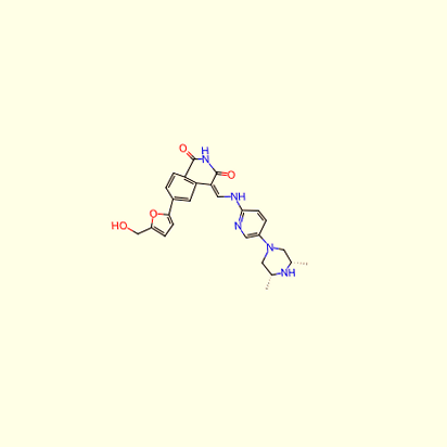 C[C@@H]1CN(c2ccc(N/C=C3\C(=O)NC(=O)c4ccc(-c5ccc(CO)o5)cc43)nc2)C[C@H](C)N1